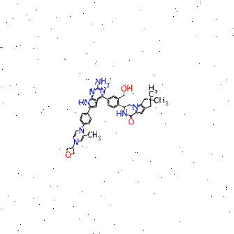 CC1=CN(C2COC2)C=CN1c1ccc(-c2cc3c(-c4ccc([C@H]5Cn6c(cc7c6CC(C)(C)C7)C(=O)N5)c(CO)c4)nc(N)nc3[nH]2)cc1